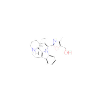 CC[C@@]12C=C(c3nc(C)c(CO)o3)n3c4c(c5ccccc53)CCN(CCC1)[C@H]42